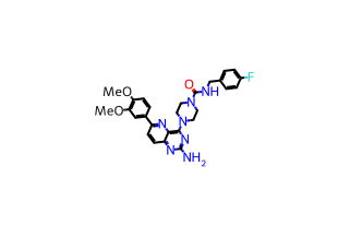 COc1ccc(-c2ccc3nc(N)nc(N4CCN(C(=O)NCc5ccc(F)cc5)CC4)c3n2)cc1OC